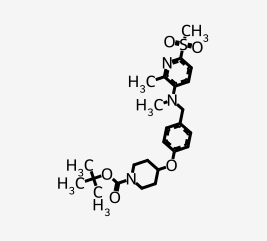 Cc1nc(S(C)(=O)=O)ccc1N(C)Cc1ccc(OC2CCN(C(=O)OC(C)(C)C)CC2)cc1